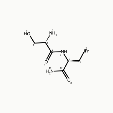 CC(C)C[C@H](NC(=O)[C@@H](N)CO)C(N)=O